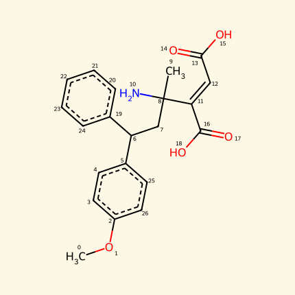 COc1ccc(C(CC(C)(N)/C(=C\C(=O)O)C(=O)O)c2ccccc2)cc1